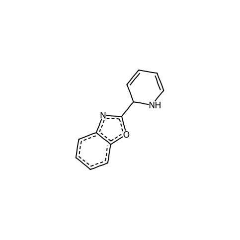 C1=CNC(c2nc3ccccc3o2)C=C1